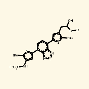 CCOC(=O)Nc1cc(-c2ccc(-c3cc(CC(O)OCC)c(C(C)(C)C)s3)c3nsnc23)sc1C(C)(C)C